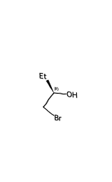 CC[C@@H](O)CBr